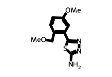 COCc1ccc(OC)cc1-c1nnc(N)s1